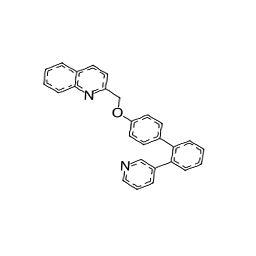 c1cncc(-c2ccccc2-c2ccc(OCc3ccc4ccccc4n3)cc2)c1